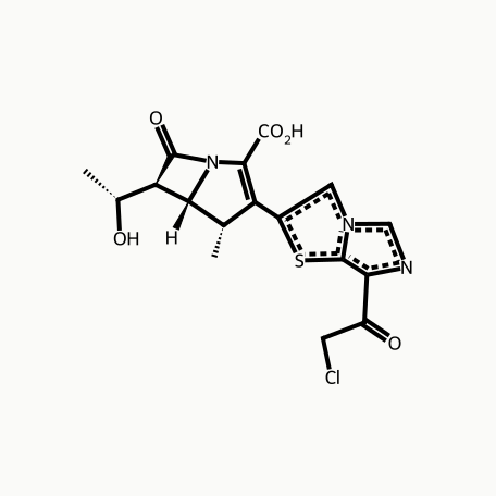 C[C@@H](O)[C@H]1C(=O)N2C(C(=O)O)=C(c3cn4cnc(C(=O)CCl)c4s3)[C@H](C)[C@H]12